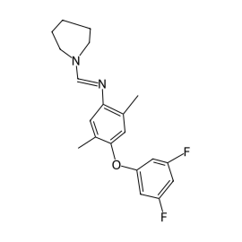 Cc1cc(Oc2cc(F)cc(F)c2)c(C)cc1N=CN1CCCCC1